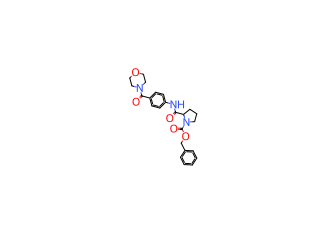 O=C(Nc1ccc(C(=O)N2CCOCC2)cc1)C1CCCN1C(=O)OCc1ccccc1